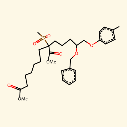 COC(=O)CCCCCCC(CCCC(COc1ccc(C)cc1)OCc1ccccc1)(C(=O)OC)S(C)(=O)=O